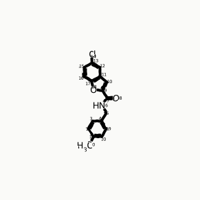 Cc1ccc(CNC(=O)c2cc3cc(Cl)ccc3o2)cc1